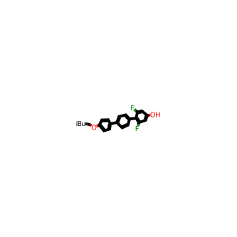 CCC(C)COc1ccc(-c2ccc(-c3c(F)cc(O)cc3F)cc2)cc1